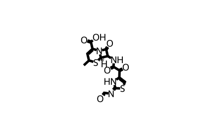 CC1C=C(C(=O)O)N2C(=O)C(NC(=O)C(=O)c3csc(=NC=O)[nH]3)[C@@H]2S1